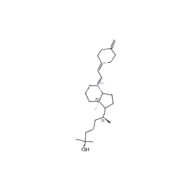 C=C1CCC(=C/C=C2\CCC[C@@]3(C)C2CCC3[C@@H](C)CCCC(C)(C)O)CC1